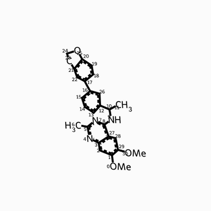 COc1cc2nc(C)nc(NC(C)c3cccc(-c4ccc5c(c4)CCO5)c3)c2cc1OC